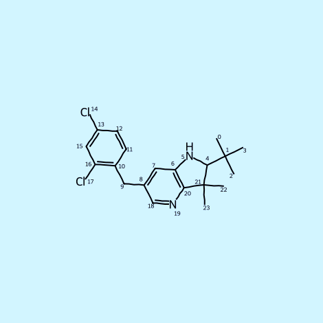 CC(C)(C)C1Nc2cc(Cc3ccc(Cl)cc3Cl)cnc2C1(C)C